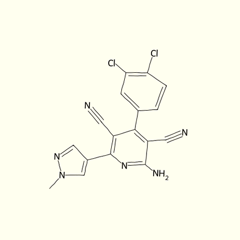 Cn1cc(-c2nc(N)c(C#N)c(-c3ccc(Cl)c(Cl)c3)c2C#N)cn1